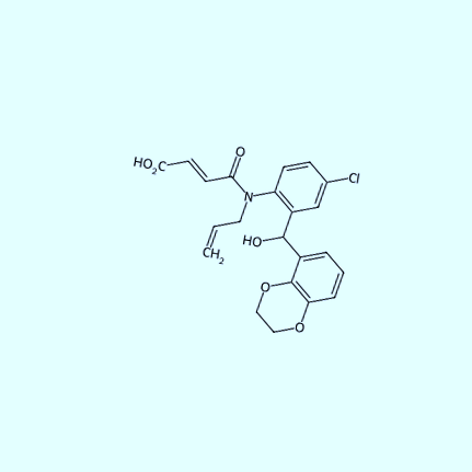 C=CCN(C(=O)C=CC(=O)O)c1ccc(Cl)cc1C(O)c1cccc2c1OCCO2